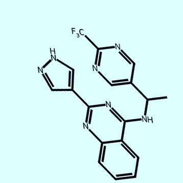 CC(Nc1nc(-c2cn[nH]c2)nc2ccccc12)c1cnc(C(F)(F)F)nc1